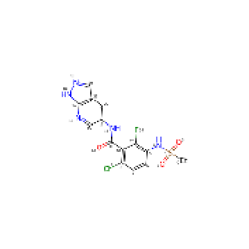 CCS(=O)(=O)Nc1ccc(Cl)c(C(=O)Nc2cnc3[nH]ncc3c2)c1F